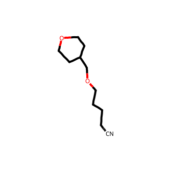 N#CCCCCOCC1CCOCC1